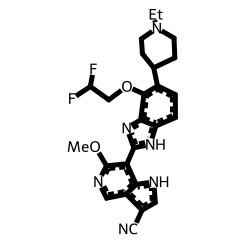 CCN1CCC(c2ccc3[nH]c(-c4c(OC)ncc5c(C#N)c[nH]c45)nc3c2OCC(F)F)CC1